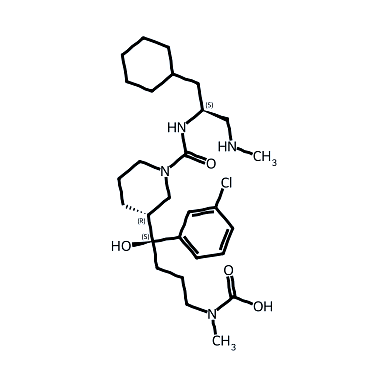 CNC[C@H](CC1CCCCC1)NC(=O)N1CCC[C@@H]([C@@](O)(CCCN(C)C(=O)O)c2cccc(Cl)c2)C1